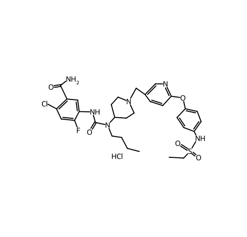 CCCCN(C(=O)Nc1cc(C(N)=O)c(Cl)cc1F)C1CCN(Cc2ccc(Oc3ccc(NS(=O)(=O)CC)cc3)nc2)CC1.Cl